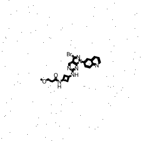 COCCC(=O)NC1CC(Nc2ncc3c(Br)nn(-c4ccc5ncccc5c4)c3n2)C1